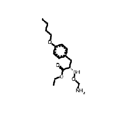 CCCCOc1ccc(C[C@H](BOCN)C(=O)OCC)cc1